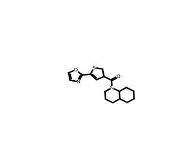 O=C(C1C=C(c2ncco2)SC1)N1CCCC2CCCCC21